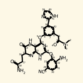 CN(C)C(=O)Cc1cc(OC2=C3NC(=O)C(CCC(N)=O)N=C3NC(Oc3cc(C#N)ccc3N)=N2)cc(-c2ncc[nH]2)c1